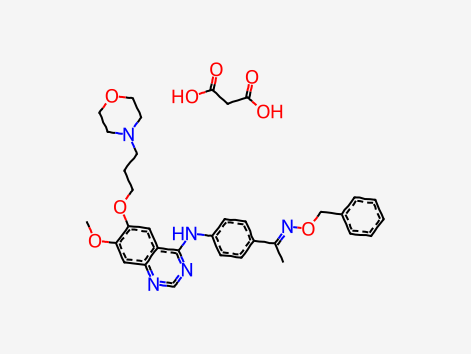 COc1cc2ncnc(Nc3ccc(C(C)=NOCc4ccccc4)cc3)c2cc1OCCCN1CCOCC1.O=C(O)CC(=O)O